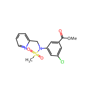 COC(=O)c1cc(Cl)cc(N(Cc2ccccn2)S(C)(=O)=O)c1